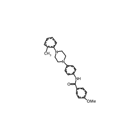 COc1ccc(C(=O)Nc2ccc(N3CCN(c4ccccc4C)CC3)cc2)cc1